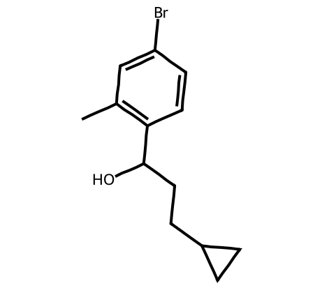 Cc1cc(Br)ccc1C(O)CCC1CC1